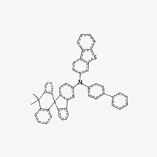 CC1(C)c2ccccc2C2(c3ccccc3-c3cc(N(c4ccc(-c5ccccc5)cc4)c4ccc5c(c4)sc4ccccc45)ccc32)c2ccccc21